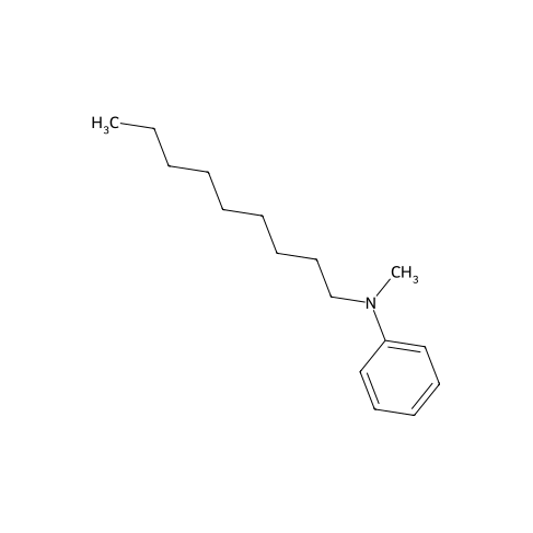 CCCCCCCCCN(C)c1ccccc1